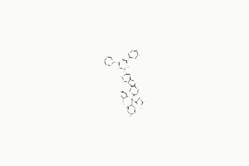 c1ccc(-c2cc(-c3ccc4c(c3)oc3cc5c(cc34)C3(c4ccccc4Sc4ccccc43)c3ccccc3-5)nc(-c3ccccc3)n2)cc1